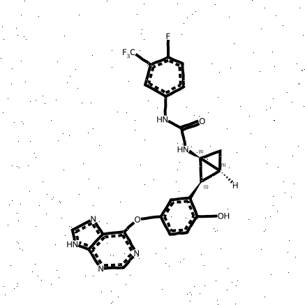 O=C(Nc1ccc(F)c(C(F)(F)F)c1)N[C@@]12C[C@H]1[C@H]2c1cc(Oc2ncnc3[nH]cnc23)ccc1O